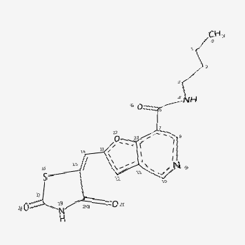 CCCCNC(=O)c1cncc2cc(/C=C3/SC(=O)NC3=O)oc12